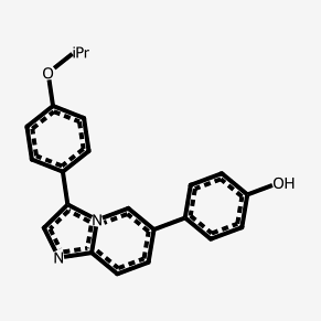 CC(C)Oc1ccc(-c2cnc3ccc(-c4ccc(O)cc4)cn23)cc1